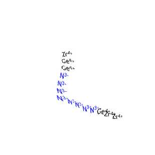 [Ge+4].[Ge+4].[Ge+4].[N-3].[N-3].[N-3].[N-3].[N-3].[N-3].[N-3].[N-3].[Zr+4].[Zr+4].[Zr+4]